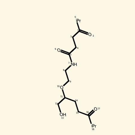 CC(C)C(=O)CCC(=O)NCCOC(CO)CCC(=O)C(C)C